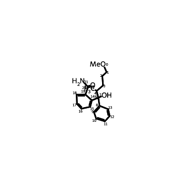 COCCCC(C(F)(F)F)C(O)(c1ccccc1)c1ccccc1C(N)=O